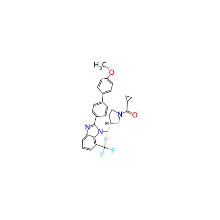 COc1ccc(-c2ccc(-c3nc4cccc(C(F)(F)F)c4n3C[C@@H]3CCN(C(=O)C4CC4)C3)cc2)cc1